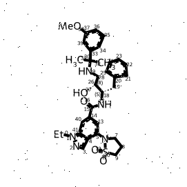 CCn1ncc2c(N3CCCS3(=O)=O)cc(C(=O)N[C@@H](Cc3ccccc3)[C@H](O)CNC(C)(C)c3cccc(OC)c3)cc21